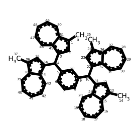 Cc1cc(C(c2cccc(C(c3cc(C)c4cccccc3-4)c3cc(C)c4cccccc3-4)c2)c2cc(C)c3cccccc2-3)c2cccccc1-2